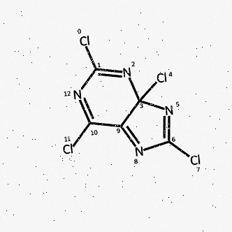 ClC1=NC2(Cl)N=C(Cl)N=C2C(Cl)=N1